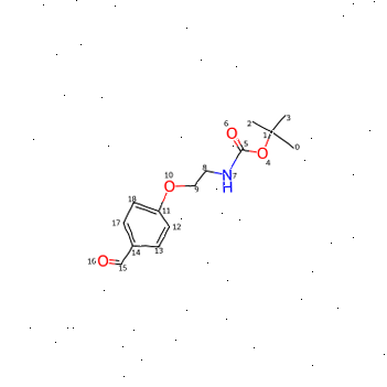 CC(C)(C)OC(=O)NCCOc1ccc(C=O)cc1